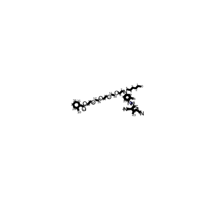 CCCCCCN(CCOCCOCCOCCOCCOC(=O)C1CCCCC1C)c1ccc(/N=N/c2sc(C#N)c(C)c2C#N)c(C)c1